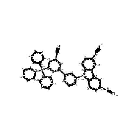 N#Cc1cc(-c2cccc(-n3c4ccc(C#N)cc4c4cc(C#N)ccc43)c2)cc([Si](c2ccccc2)(c2ccccc2)c2ccccc2)c1